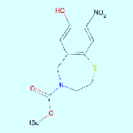 CC(C)(C)OC(=O)N1CCSc2cc([N+](=O)[O-])c(O)cc2C1